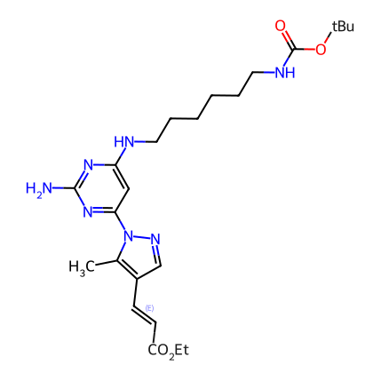 CCOC(=O)/C=C/c1cnn(-c2cc(NCCCCCCNC(=O)OC(C)(C)C)nc(N)n2)c1C